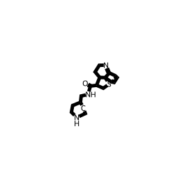 O=C(NCC1CCNCC1)C1CSC23C=CC=CC2=NCCC13